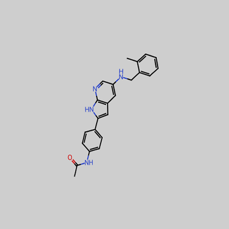 CC(=O)Nc1ccc(-c2cc3cc(NCc4ccccc4C)cnc3[nH]2)cc1